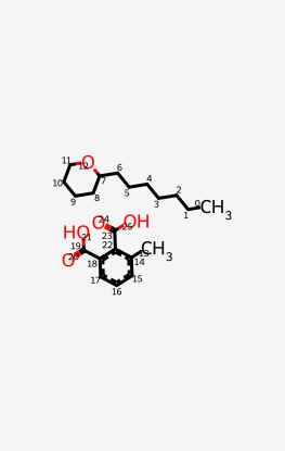 CCCCCCCC1CCCCO1.Cc1cccc(C(=O)O)c1C(=O)O